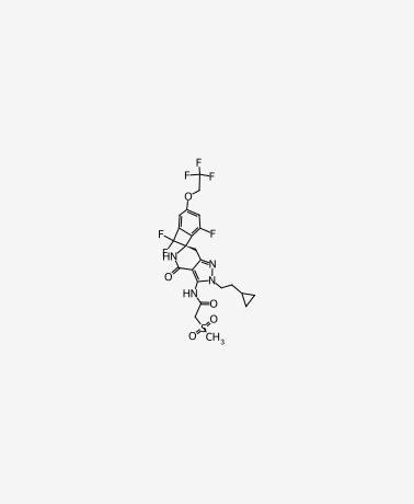 CS(=O)(=O)CC(=O)Nc1c2c(nn1CCC1CC1)C[C@]1(NC2=O)c2c(F)cc(OCC(F)(F)F)cc2C1(F)F